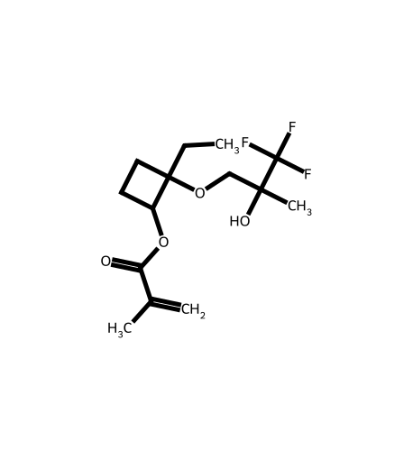 C=C(C)C(=O)OC1CCC1(CC)OCC(C)(O)C(F)(F)F